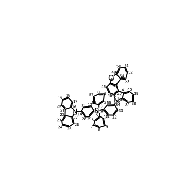 c1ccc([Si](c2ccccc2)(c2ccc(-n3c4ccccc4c4ccccc43)cc2)c2cccc(-n3c4ccccc4c4c5c(ccc43)oc3ccccc35)c2)cc1